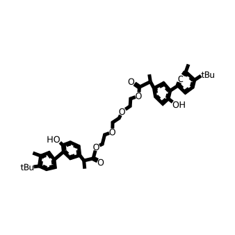 Cc1cc(-c2cc(C(C)C(=O)OCCOCCOCCOC(=O)C(C)c3ccc(O)c(-c4ccc(C(C)(C)C)c(C)c4)c3)ccc2O)ccc1C(C)(C)C